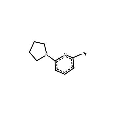 CC(C)c1cccc(N2CCCC2)n1